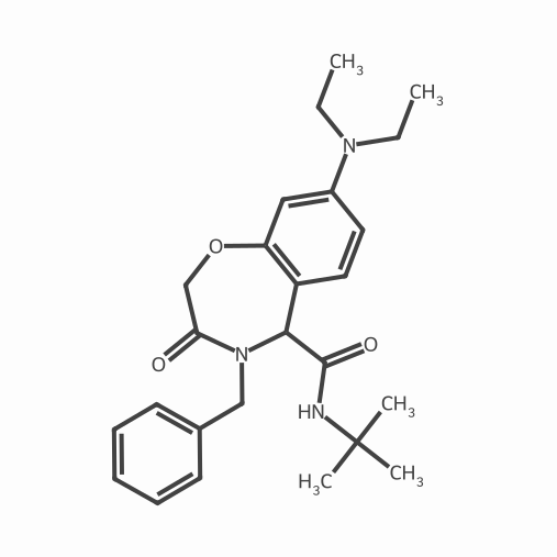 CCN(CC)c1ccc2c(c1)OCC(=O)N(Cc1ccccc1)C2C(=O)NC(C)(C)C